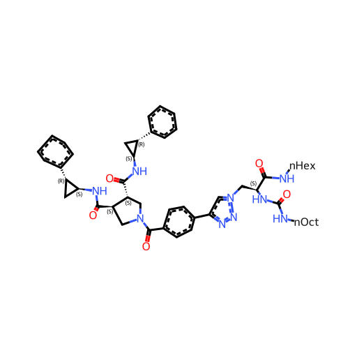 CCCCCCCCNC(=O)N[C@@H](Cn1cc(-c2ccc(C(=O)N3C[C@@H](C(=O)N[C@H]4C[C@@H]4c4ccccc4)[C@H](C(=O)N[C@H]4C[C@@H]4c4ccccc4)C3)cc2)nn1)C(=O)NCCCCCC